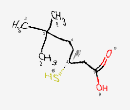 CC(C)(C)C[C@@H](S)C(=O)O